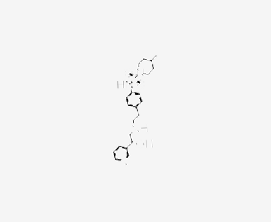 CC1CCN(S(=O)(=O)Nc2ccc(CCNC[C@H](O)c3cccnc3)cc2)CC1